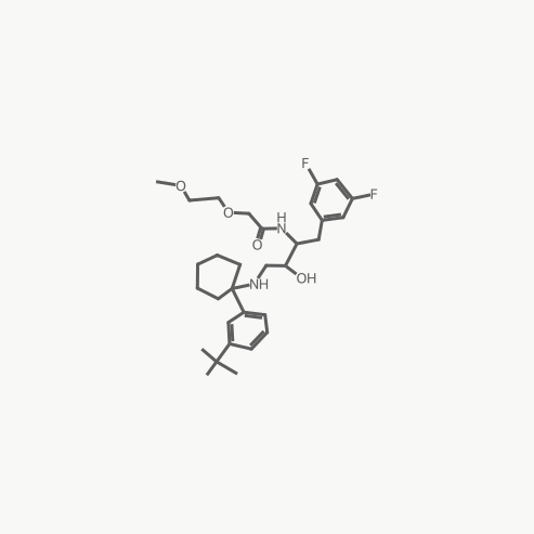 COCCOCC(=O)NC(Cc1cc(F)cc(F)c1)C(O)CNC1(c2cccc(C(C)(C)C)c2)CCCCC1